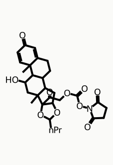 CCCC1OC2CC3C4CCC5=CC(=O)C=CC5(C)C4C(O)CC3(C)C2(C(=O)COC(=O)ON2C(=O)CCC2=O)O1